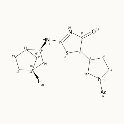 CC(=O)N1CCC(C2SC(N[C@H]3C[C@@H]4CCC3C4)=NC2=O)C1